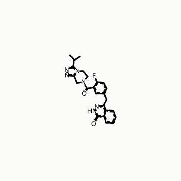 CC(C)c1nnc2n1CCN(C(=O)c1cc(Cc3n[nH]c(=O)c4ccccc34)ccc1F)C2